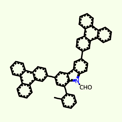 Cc1ccccc1-c1cc(-c2ccc3c4ccccc4c4ccccc4c3c2)cc2c3cc(-c4ccc5c6ccccc6c6ccccc6c5c4)ccc3n(C=O)c12